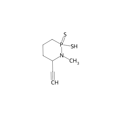 C#CC1CCCP(=S)(S)N1C